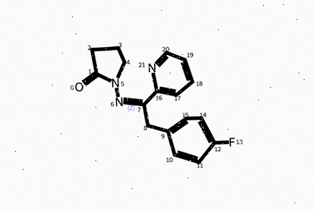 O=C1CCCN1/N=C(/Cc1ccc(F)cc1)c1ccccn1